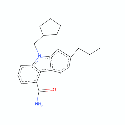 CCCc1c[c]c2c3c(C(N)=O)cccc3n(CC3CCCC3)c2c1